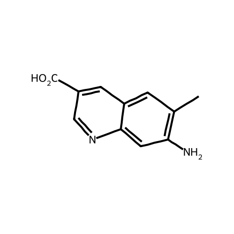 Cc1cc2cc(C(=O)O)cnc2cc1N